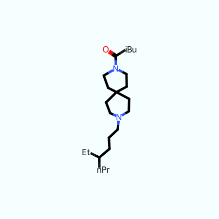 CCCC(CC)CCCN1CCC2(CC1)CCN(C(=O)C(C)CC)CC2